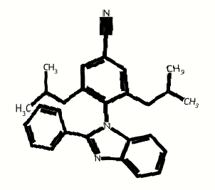 CC(C)Cc1cc(C#N)cc(CC(C)C)c1-n1c(-c2ccccc2)nc2ccccc21